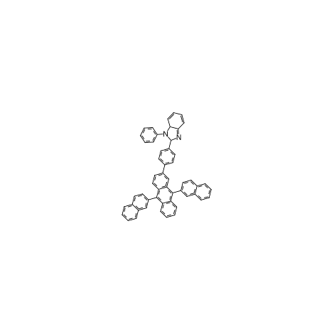 C1=CC2=NC(c3ccc(-c4ccc5c(-c6ccc7ccccc7c6)c6ccccc6c(-c6ccc7ccccc7c6)c5c4)cc3)N(c3ccccc3)C2C=C1